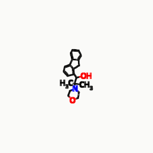 CC(C)(C(O)c1cccc2c1Cc1ccccc1-2)N1CCOCC1